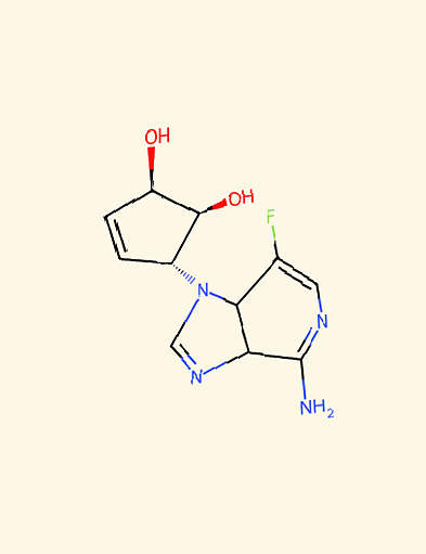 NC1=NC=C(F)C2C1N=CN2[C@@H]1C=C[C@@H](O)[C@H]1O